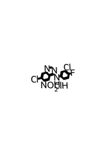 Cl.O=[N+]([O-])c1cc2c(Nc3ccc(F)c(Cl)c3)ncnc2cc1Cl